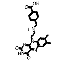 Cc1cc2nc3c(=O)[nH]c(=O)nc-3n(CCNCc3ccc(C(=O)O)cc3)c2cc1C